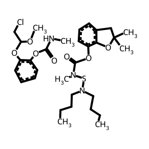 CCCCN(CCCC)SN(C)C(=O)Oc1cccc2c1OC(C)(C)C2.CNC(=O)Oc1ccccc1OC(CCl)OC